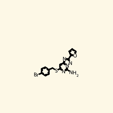 Nc1nc(SCc2ccc(Br)cc2)cc2nc(-c3ccco3)nn12